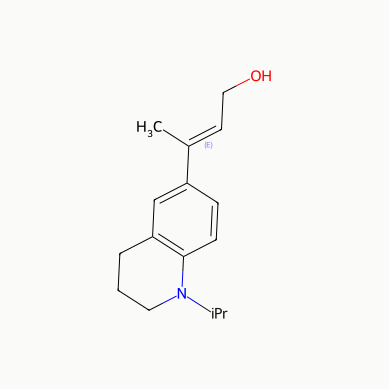 C/C(=C\CO)c1ccc2c(c1)CCCN2C(C)C